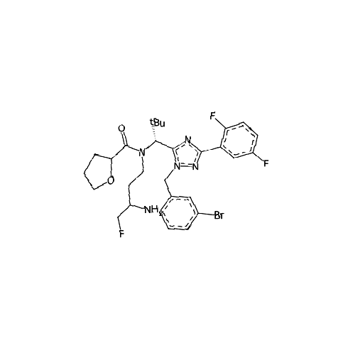 CC(C)(C)[C@H](c1nc(-c2cc(F)ccc2F)nn1Cc1cccc(Br)c1)N(CCC(N)CF)C(=O)C1CCCO1